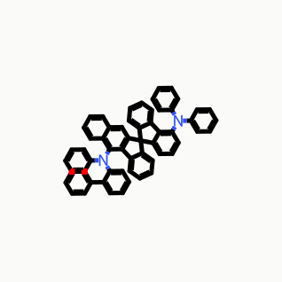 c1ccc(-c2ccccc2N(c2ccccc2)c2c3c(cc4ccccc24)C2(c4ccccc4-c4c(N(c5ccccc5)c5ccccc5)cccc42)c2ccccc2-3)cc1